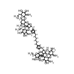 NCC1O[C@H](OC2C(N)C[C@@H](N)C(O)[C@H]2O[C@@H]2O[C@H](Cn3cc(CCCCCCc4cn(C[C@H]5O[C@@H](O[C@H]6C(O[C@H]7OC(CN)C(O)[C@H](O)C7N)C(N)C[C@@H](N)C6O)[C@@H](O)C5O[C@H]5O[C@@H](CN)C(O)C(O)C5N)nn4)nn3)C(O[C@H]3O[C@@H](CN)C(O)C(O)C3N)[C@@H]2O)C(N)[C@@H](O)C1O